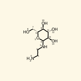 NCCNC1O[C@H](CO)[C@@H](O)[C@H](O)[C@H]1O